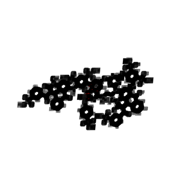 Cn1c(=O)c(C(=O)c2cccc(S(=O)(=O)O)c2)c2c3c(c(Nc4cc(Nc5nc(NCCNc6nc(Nc7cc(Nc8ccc9c%10c8C(=O)c8ccccc8-c%10c(C(=O)c8cccc(S(=O)(=O)O)c8)c(=O)n9C)c(S(=O)(=O)O)cc7S(=O)(=O)O)nc(Oc7ccc(S(=O)(=O)O)cc7)n6)nc(Oc6ccc(S(=O)(=O)O)cc6)n5)c(S(=O)(=O)O)cc4S(=O)(=O)O)ccc31)C(=O)c1ccccc1-2